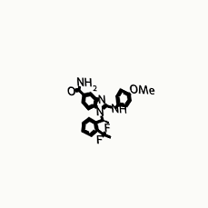 COc1ccc(Nc2nc3cc(C(N)=O)ccc3n2[C@@H](C)c2ccccc2C(C)(F)F)cc1